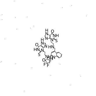 NCCn1c(=S)[nH]c(=O)c2[nH]cnc21.O=C(O)C(F)(F)F.O=c1[nH]c(=S)n(CCNCc2ccnc3ccccc23)c2nc[nH]c12